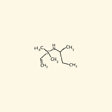 C=CS(C)(C)NC(C)CC